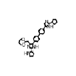 c1cc(-c2cnc(C3CCCC3)[nH]2)ccc1-c1ccc(-c2[nH]c([C@@H]3CCCN3)nc2CC2OCCCO2)cc1